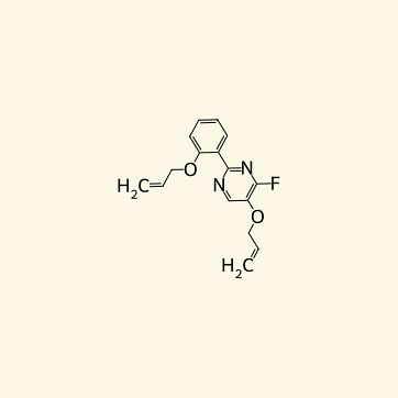 C=CCOc1ccccc1-c1ncc(OCC=C)c(F)n1